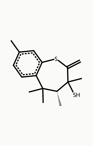 C=C1Sc2cc(C)ccc2C(C)(C)[C@@H](C)C1(C)S